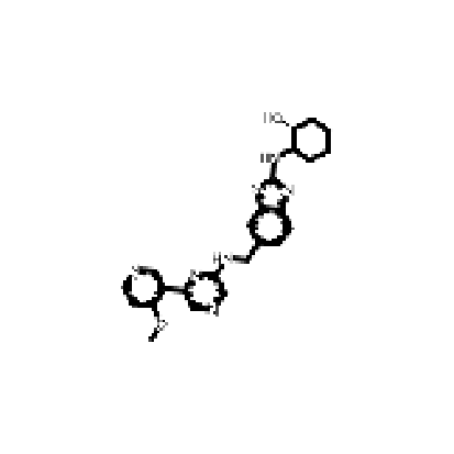 COc1ccncc1-c1cncc(NCc2ccc3nc(NC4CCCC[C@H]4O)sc3c2)n1